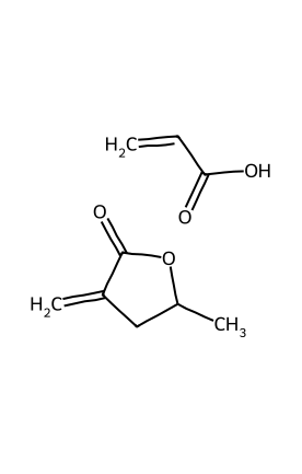 C=C1CC(C)OC1=O.C=CC(=O)O